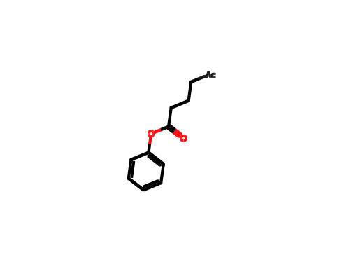 CC(=O)CCCC(=O)Oc1ccccc1